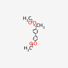 C=CC(=O)OCC(C)c1ccc(-c2ccc(OC(=O)C=C)cc2)cc1